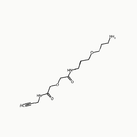 C#CCNC(=O)COCC(=O)NCCCOCCCN